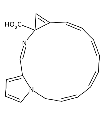 O=C(O)C12C=C1\C=C/C=C\C=C/C=C\Cn1cccc1/C=N\2